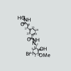 COc1cc(Br)cc(/C=N/NC(=O)c2cccc(/C=C/C(=O)NO)c2)c1O